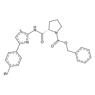 CC(C)c1ccc(-c2csc(NC(=O)[C@@H]3CCCN3C(=O)OCc3ccccc3)n2)cc1